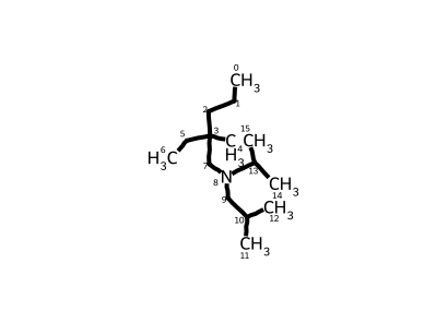 CCCC(C)(CC)CN(CC(C)C)C(C)C